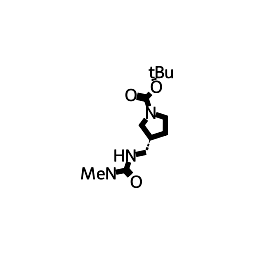 CNC(=O)NC[C@H]1CCN(C(=O)OC(C)(C)C)C1